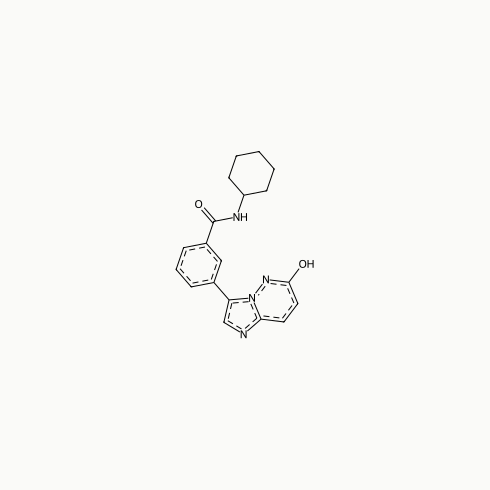 O=C(NC1CCCCC1)c1cccc(-c2cnc3ccc(O)nn23)c1